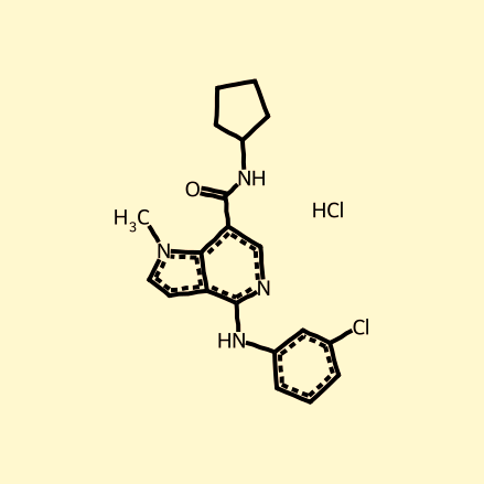 Cl.Cn1ccc2c(Nc3cccc(Cl)c3)ncc(C(=O)NC3CCCC3)c21